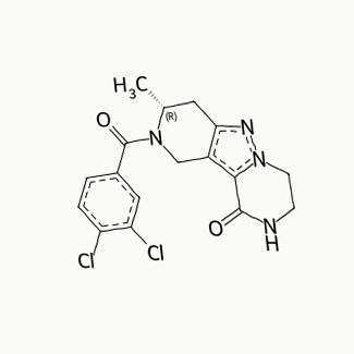 C[C@@H]1Cc2nn3c(c2CN1C(=O)c1ccc(Cl)c(Cl)c1)C(=O)NCC3